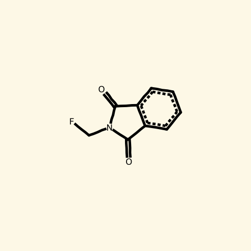 O=C1c2ccccc2C(=O)N1CF